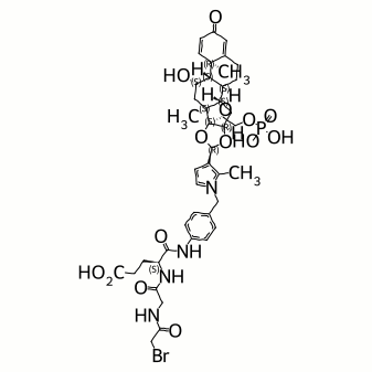 Cc1c([C@@H]2O[C@@H]3C[C@H]4[C@@H]5CCC6=CC(=O)C=C[C@]6(C)[C@H]5[C@@H](O)C[C@]4(C)[C@]3(C(=O)COP(=O)(O)O)O2)ccn1Cc1ccc(NC(=O)[C@H](CCC(=O)O)NC(=O)CNC(=O)CBr)cc1